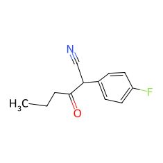 CCCC(=O)C(C#N)c1ccc(F)cc1